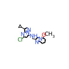 COc1cccc2nc(CNc3cc(Cl)nc4c(C5CC5)cnn34)cn12